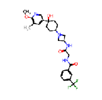 COc1ncc(C2(O)CCC(N3CC(NC(=O)CNC(=O)c4cccc(C(F)(F)F)c4)C3)CC2)cc1C